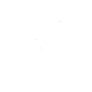 O=C(N[C@@H](Cc1ccc(O)cc1)C(=O)O)C(CS)Cc1ccc2c(c1)OCO2